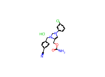 Cl.N#Cc1ccc(CN2CN(c3cccc(Cl)c3)C=C2COC(N)=O)cc1